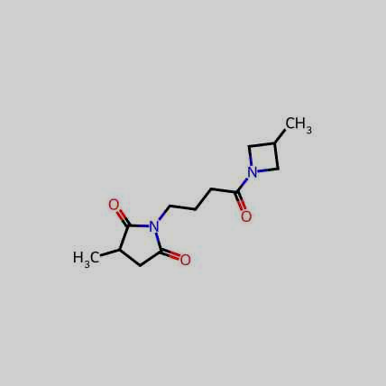 CC1CN(C(=O)CCCN2C(=O)CC(C)C2=O)C1